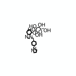 OC[C@H]1O[C@@H](O)[C@@](O)(Oc2cccc3ncn(Cc4ccc(-n5cccn5)cc4)c23)[C@@H](O)[C@@H]1O